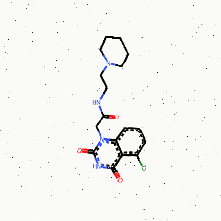 O=C(Cn1c(=O)[nH]c(=O)c2c(Cl)cccc21)NCCN1CCCCC1